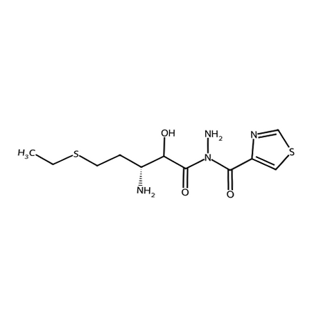 CCSCC[C@@H](N)C(O)C(=O)N(N)C(=O)c1cscn1